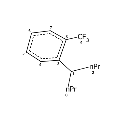 CCCC(CCC)c1ccccc1C(F)(F)F